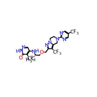 C[C@@H](COCc1nn2c(c1C(F)(F)F)CN(c1ncc(C(F)(F)F)cn1)CC2)Nc1cn[nH]c(=O)c1C(F)(F)F